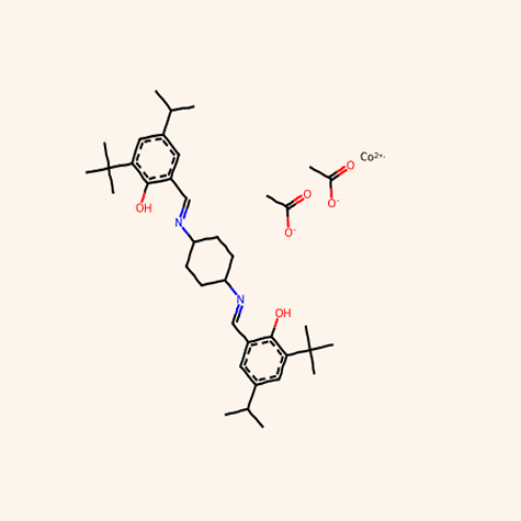 CC(=O)[O-].CC(=O)[O-].CC(C)c1cc(C=NC2CCC(N=Cc3cc(C(C)C)cc(C(C)(C)C)c3O)CC2)c(O)c(C(C)(C)C)c1.[Co+2]